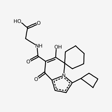 O=C(O)CNC(=O)C1=C(O)C2(CCCCC2)n2c(ccc2C2CCC2)C1=O